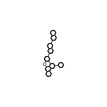 c1ccc(-c2cc3c4c(cc5ccccc5c4c2)Oc2ccc(-c4ccc5cc(-c6ccc7ccccc7c6)ccc5c4)cc2-3)cc1